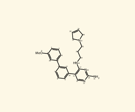 COc1cccc(-c2cccc(-c3cnc(N)nc3NCCCN3CC=CC3)c2)c1